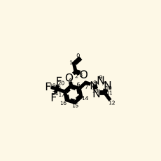 C=CC(=O)Oc1c(Cn2nnc(C)n2)cccc1C(F)(F)F